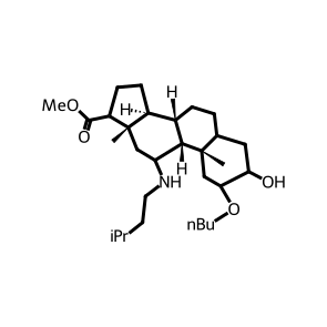 CCCCOC1C[C@@]2(C)C(CC[C@@H]3[C@H]2C(NCCC(C)C)C[C@]2(C)C(C(=O)OC)CC[C@@H]32)CC1O